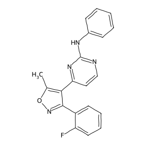 Cc1onc(-c2ccccc2F)c1-c1ccnc(Nc2ccccc2)n1